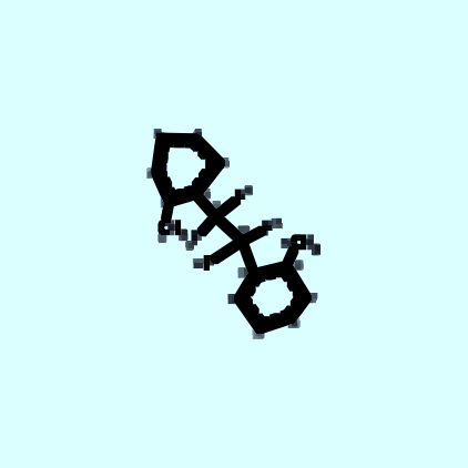 Cc1ccccc1C(F)(F)C(F)(F)c1ccccc1C